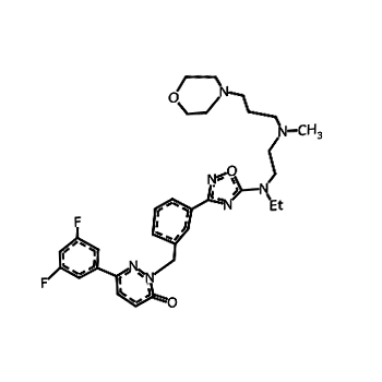 CCN(CCN(C)CCCN1CCOCC1)c1nc(-c2cccc(Cn3nc(-c4cc(F)cc(F)c4)ccc3=O)c2)no1